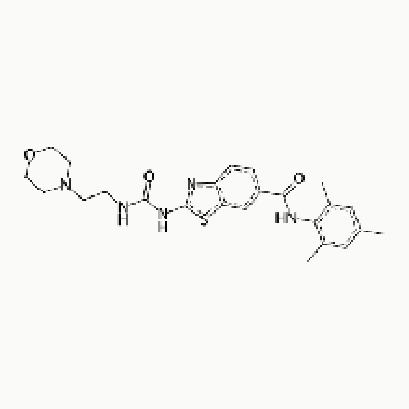 Cc1cc(C)c(NC(=O)c2ccc3nc(NC(=O)NCCN4CCOCC4)sc3c2)c(C)c1